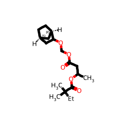 CCC(C)(C)C(=O)OC(C)CC(=O)OCOC1C[C@H]2CC[C@@H]1C2